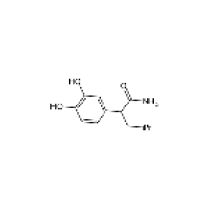 CC(C)CC(C(N)=O)c1ccc(O)c(O)c1